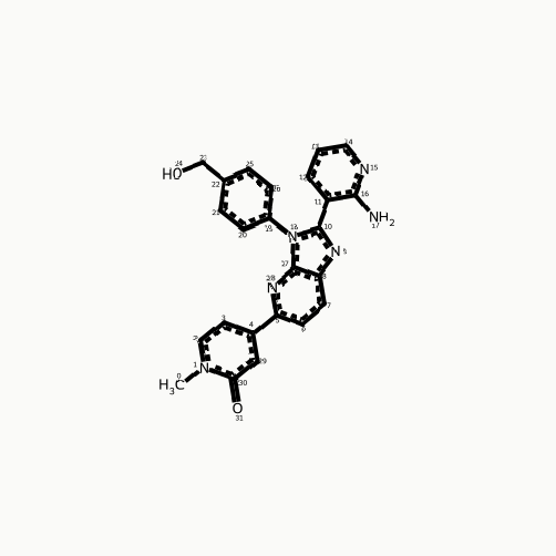 Cn1ccc(-c2ccc3nc(-c4cccnc4N)n(-c4ccc(CO)cc4)c3n2)cc1=O